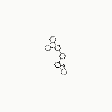 C1=Cc2sc3c(-c4cccc(-c5ccc6c7ccccc7c7ccccc7c6c5)c4)cccc3c2CC1